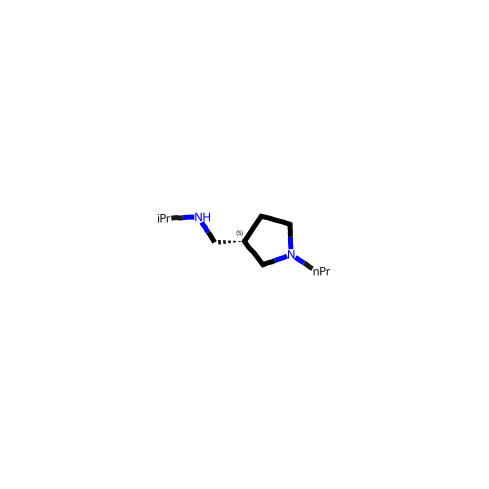 CCCN1CC[C@@H](CNC(C)C)C1